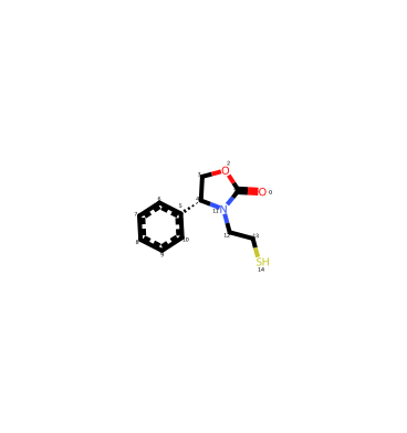 O=C1OC[C@@H](c2ccccc2)N1CCS